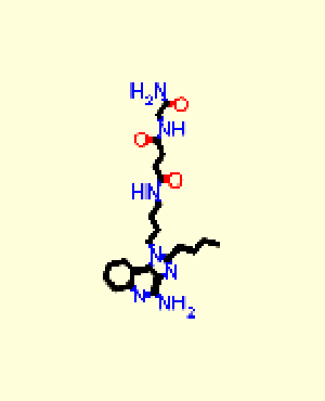 CCCCc1nc2c(N)nc3c(c2n1CCCCNC(=O)CCC(=O)NCC(N)=O)CCCC3